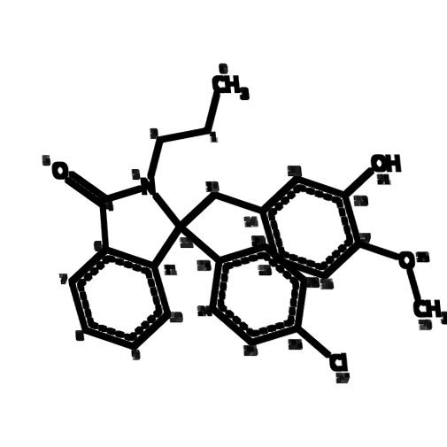 CCCN1C(=O)c2ccccc2C1(Cc1ccc(OC)c(O)c1)c1ccc(Cl)cc1